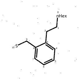 CCCCCCCCc1ccccc1C[S]